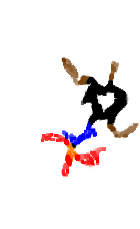 O=P(O)(O)NNc1cc(Br)c(Br)cc1Br